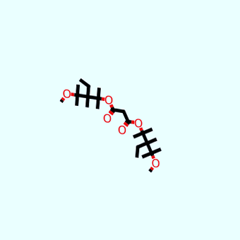 CCC(C)(C(C)(C)OC)C(C)(C)OC(=O)CC(=O)OC(C)(C)C(C)(CC)C(C)(C)OC